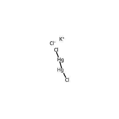 [Cl-].[Cl][Hg][Hg][Cl].[K+]